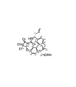 C=CC[C@@H](NC(=O)N1C(=O)C(CC)(CC)C1Oc1ccc([C@@H](COC)N(C)C)cc1)c1ccc(C)cc1